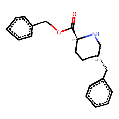 O=C(OCc1ccccc1)[C@@H]1CC[C@@H](Cc2ccccc2)CN1